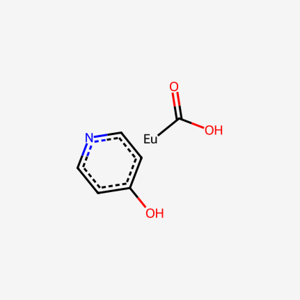 O=[C](O)[Eu].Oc1ccncc1